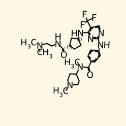 CN(C)CCNC(=O)[C@H]1CC[C@@H](Nc2nc(Nc3ccc(C(=O)N(C)C4CCN(C)CC4)cc3)ncc2C(F)(F)F)C1